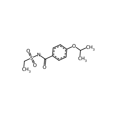 CCS(=O)(=O)[N]C(=O)c1ccc(OC(C)C)cc1